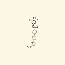 CCCC1CCC(C2CCC(C3CCC(C(=O)Oc4ccc(C(F)(F)F)c(F)c4)CC3)CC2)O1